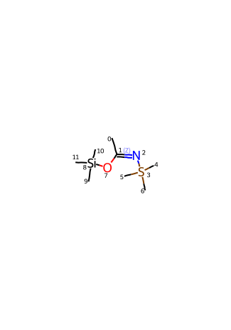 C/C(=N/S(C)(C)C)O[Si](C)(C)C